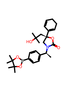 C[C@@H](c1ccc(B2OC(C)(C)C(C)(C)O2)cc1)N1C[C@](CC(C)(C)O)(C2=CCCC=C2)OC1=O